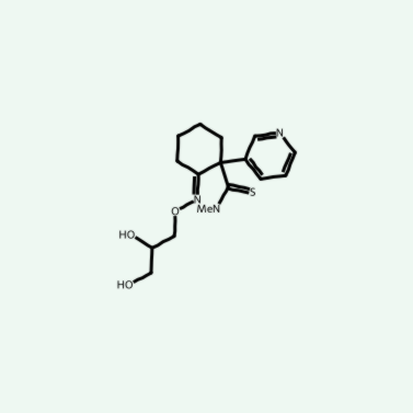 CNC(=S)C1(c2cccnc2)CCCCC1=NOCC(O)CO